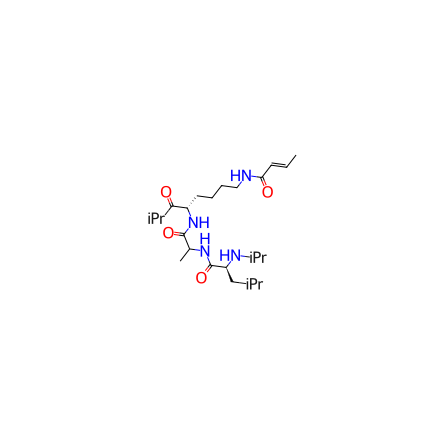 C/C=C/C(=O)NCCCC[C@H](NC(=O)C(C)NC(=O)[C@H](CC(C)C)NC(C)C)C(=O)C(C)C